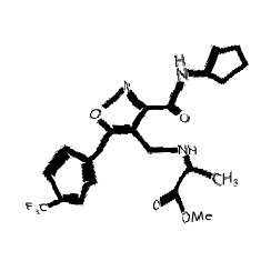 COC(=O)C(C)NCc1c(C(=O)NC2CCCC2)noc1-c1ccc(C(F)(F)F)cc1